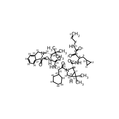 C=CCNC(=O)C(=O)C(CC1CC1)NC(=O)[C@@H]1C2[C@H](CN1C(=O)[C@@H](NC(=O)N[C@H](CN1Cc3ccccc3S1(=O)=O)C(C)(C)C)C1CCCCC1)C2(C)C